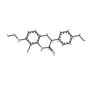 CCOc1ccc2c(c1F)OC(=O)C(c1ccc(CC)cc1)C2